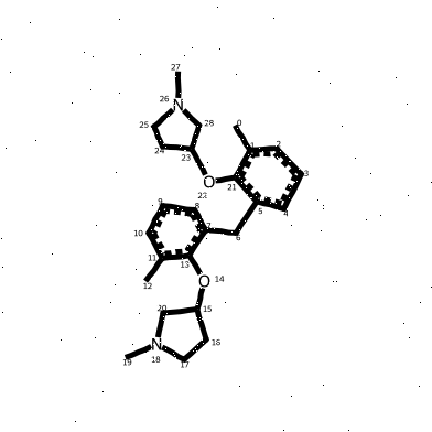 Cc1cccc(Cc2cccc(C)c2OC2CCN(C)C2)c1OC1CCN(C)C1